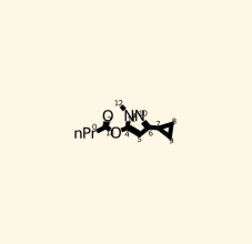 CCCC(=O)Oc1cc(C2CC2)nn1C